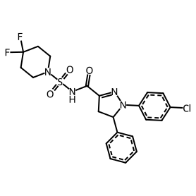 O=C(NS(=O)(=O)N1CCC(F)(F)CC1)C1=NN(c2ccc(Cl)cc2)C(c2ccccc2)C1